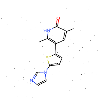 Cc1[nH]c(=O)c(C)cc1-c1ccc(-n2ccnc2)s1